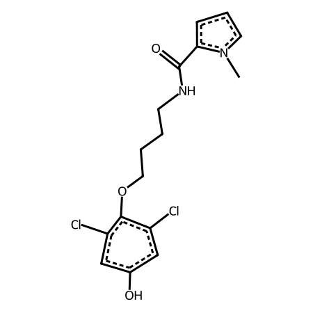 Cn1cccc1C(=O)NCCCCOc1c(Cl)cc(O)cc1Cl